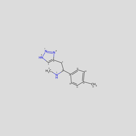 CNC(Cc1c[nH]nn1)c1ccc(C)cc1